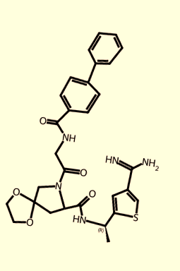 C[C@@H](NC(=O)C1CC2(CN1C(=O)CNC(=O)c1ccc(-c3ccccc3)cc1)OCCO2)c1cc(C(=N)N)cs1